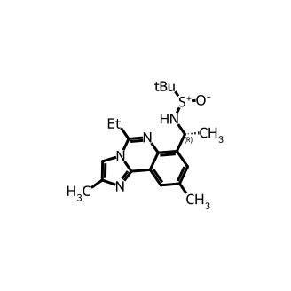 CCc1nc2c([C@@H](C)N[S+]([O-])C(C)(C)C)cc(C)cc2c2nc(C)cn12